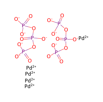 O=P([O-])([O-])OP(=O)([O-])OP(=O)([O-])[O-].O=P([O-])([O-])OP(=O)([O-])OP(=O)([O-])[O-].[Pd+2].[Pd+2].[Pd+2].[Pd+2].[Pd+2]